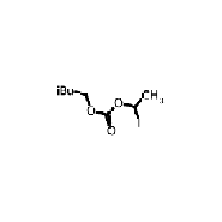 CCC(C)COC(=O)OC(C)I